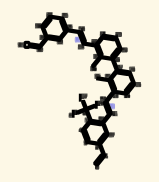 C=Cc1ccc(C(F)(F)F)c(/C=C/c2cccc(-c3cccc(/C=C/c4cccc(C=O)c4)c3C)c2C)c1